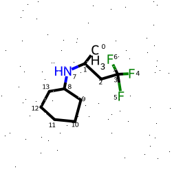 CC(CC(F)(F)F)NC1CCCCC1